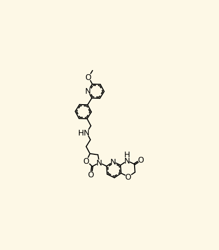 COc1cccc(-c2cccc(CNCCC3CN(c4ccc5c(n4)NC(=O)CO5)C(=O)O3)c2)n1